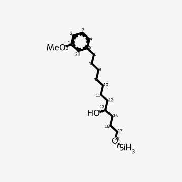 COc1cccc(CCCCCCCC(O)CCCO[SiH3])c1